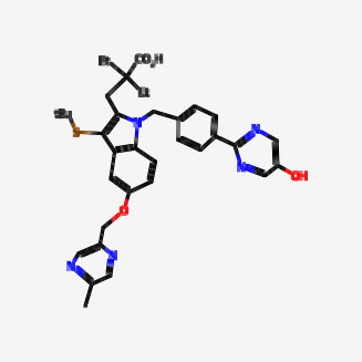 CCC(CC)(Cc1c(SC(C)(C)C)c2cc(OCc3cnc(C)cn3)ccc2n1Cc1ccc(-c2ncc(O)cn2)cc1)C(=O)O